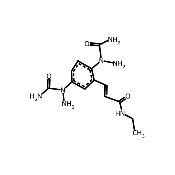 CCNC(=O)C=Cc1cc(N(N)C(N)=O)ccc1N(N)C(N)=O